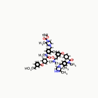 CCN(CC)C(=O)Cc1cccc(O[C@H]2CC[C@H](C(=O)N(C)c3ccc(CN4CCN[C@@H](C)C4)c(C)c3)CC2)c1.Cc1cc(N(C)C(=O)[C@H]2CC[C@H](Oc3cccc(CC(=O)O)c3)CC2)ccc1CN1CCN(C(=O)OC(C)(C)C)[C@@H](C)C1